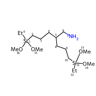 CC[Si](CCCC(CN)CCC[Si](CC)(OC)OC)(OC)OC